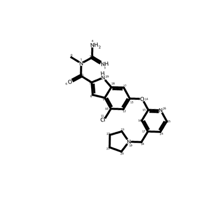 CN(C(=N)N)C(=O)c1cc2c(Cl)cc(Oc3cc(CN4CCCC4)ccn3)cc2[nH]1